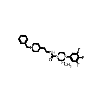 C[C@@H]1CN(C(=O)NCCC2CCN(Cc3ccccc3)CC2)CCN1c1cc(F)c(F)c(F)c1